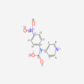 O=C(O)N(c1ccncc1)c1ccc([N+](=O)[O-])cc1